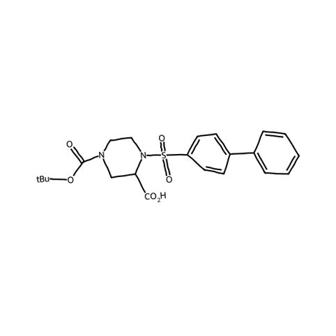 CC(C)(C)OC(=O)N1CCN(S(=O)(=O)c2ccc(-c3ccccc3)cc2)C(C(=O)O)C1